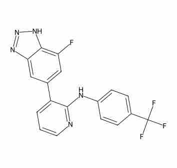 Fc1cc(-c2cccnc2Nc2ccc(C(F)(F)F)cc2)cc2nn[nH]c12